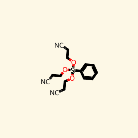 N#CCCO[Si](OCCC#N)(OCCC#N)c1ccccc1